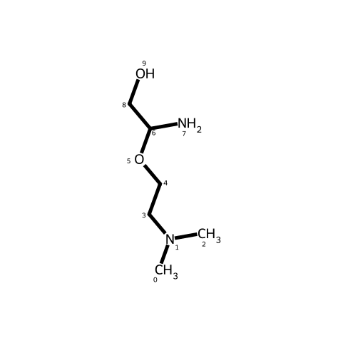 CN(C)CCOC(N)CO